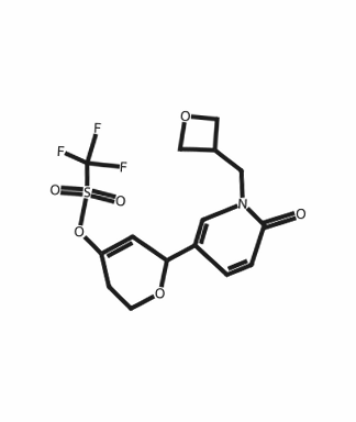 O=c1ccc(C2C=C(OS(=O)(=O)C(F)(F)F)CCO2)cn1CC1COC1